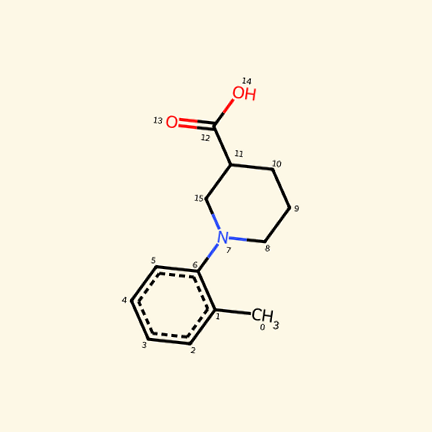 Cc1ccccc1N1CCCC(C(=O)O)C1